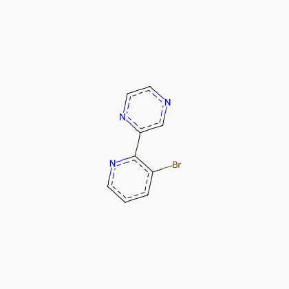 Brc1cccnc1-c1cnccn1